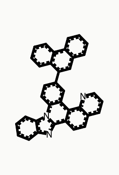 c1ccc2c(c1)cc(-c1ccc3c(c1)c1c(ccc4cccnc41)c1nc4ccccc4n31)c1ccccc12